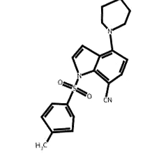 Cc1ccc(S(=O)(=O)n2ccc3c(N4CCCCC4)ccc(C#N)c32)cc1